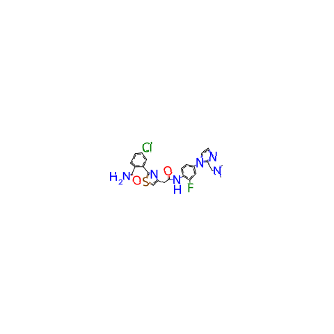 CN(C)Cc1nccn1-c1ccc(NC(=O)Cc2csc(-c3cc(Cl)ccc3C(N)=O)n2)c(F)c1